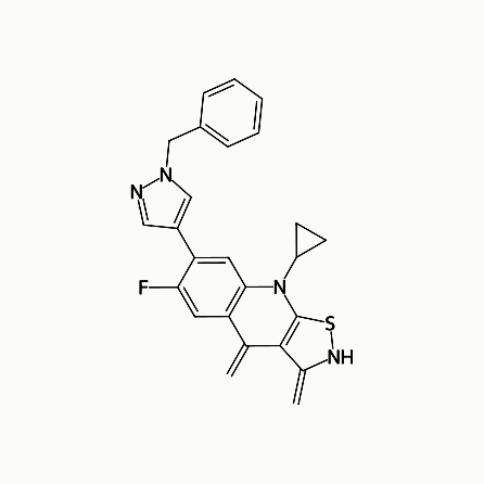 C=C1NSC2=C1C(=C)c1cc(F)c(-c3cnn(Cc4ccccc4)c3)cc1N2C1CC1